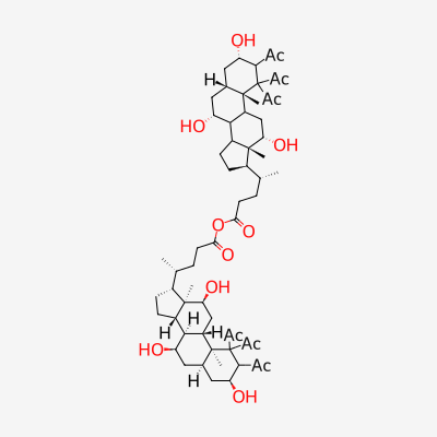 CC(=O)C1[C@@H](O)C[C@H]2C[C@@H](O)[C@H]3[C@@H]4CC[C@H]([C@H](C)CCC(=O)OC(=O)CC[C@@H](C)[C@H]5CCC6C7C(C[C@H](O)[C@@]65C)[C@]5(C)[C@H](C[C@H]7O)C[C@H](O)C(C(C)=O)C5(C(C)=O)C(C)=O)[C@@]4(C)[C@@H](O)C[C@@H]3[C@@]2(C)C1(C(C)=O)C(C)=O